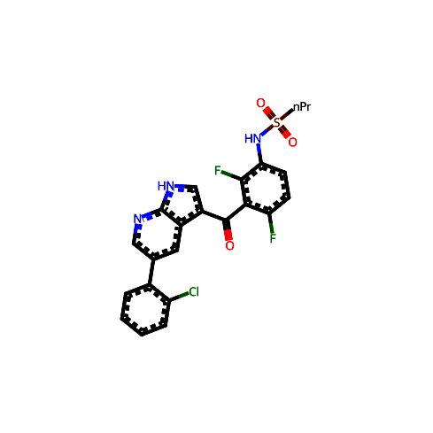 CCCS(=O)(=O)Nc1ccc(F)c(C(=O)c2c[nH]c3ncc(-c4ccccc4Cl)cc23)c1F